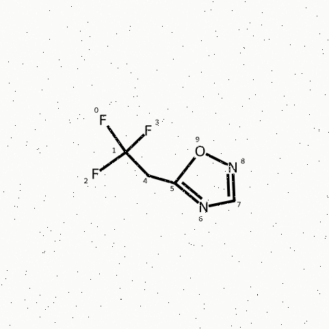 FC(F)(F)Cc1ncno1